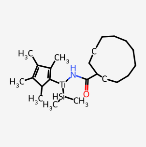 CC1=C(C)C(C)[C]([Ti]([NH]C(=O)C2CCCCCCCCCC2)[SiH](C)C)=C1C